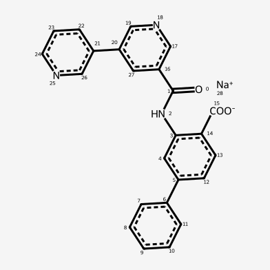 O=C(Nc1cc(-c2ccccc2)ccc1C(=O)[O-])c1cncc(-c2cccnc2)c1.[Na+]